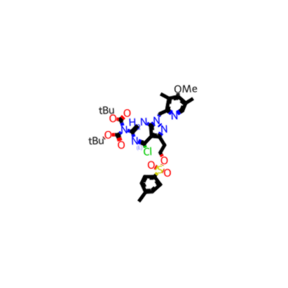 C=C(/N=C(/Cl)c1c(CCOS(=O)(=O)c2ccc(C)cc2)nn(Cc2ncc(C)c(OC)c2C)c1N)N(C(=O)OC(C)(C)C)C(=O)OC(C)(C)C